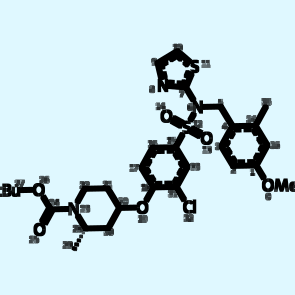 COc1ccc(CN(c2nccs2)S(=O)(=O)c2ccc(OC3CCN(C(=O)OC(C)(C)C)[C@@H](C)C3)c(Cl)c2)c(C)c1